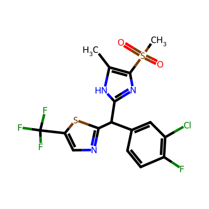 Cc1[nH]c(C(c2ccc(F)c(Cl)c2)c2ncc(C(F)(F)F)s2)nc1S(C)(=O)=O